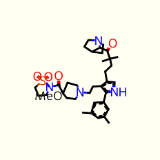 COC1(C(=O)N2CCCS2(=O)=O)CCN(CCc2c(CCC(C)(C)C(=O)C3C4CCN3CC4)c[nH]c2-c2cc(C)cc(C)c2)CC1